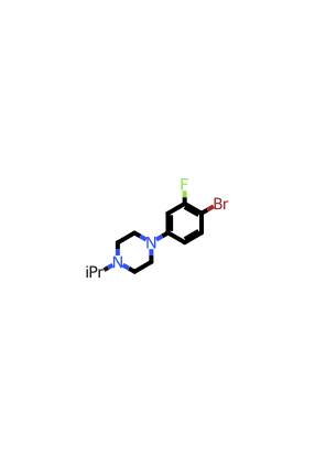 CC(C)N1CCN(c2ccc(Br)c(F)c2)CC1